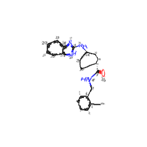 Cc1ccccc1CNC(=O)[C@H]1CC[C@H](Nc2nc3ccccc3[nH]2)CC1